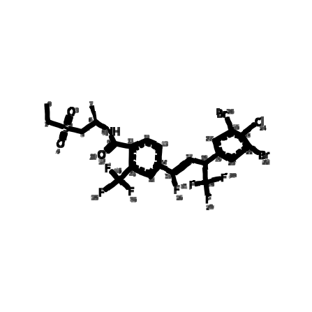 CCS(=O)(=O)C[C@@H](C)NC(=O)c1ccc(/C(F)=C/C(c2cc(Br)c(Cl)c(Br)c2)C(F)(F)F)cc1C(F)(F)F